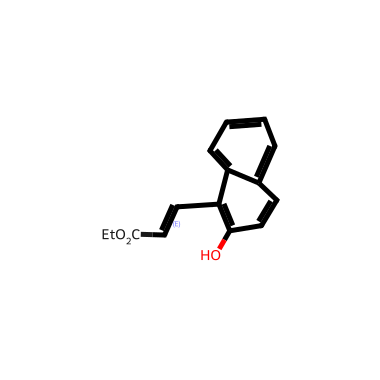 CCOC(=O)/C=C/c1c(O)ccc2ccccc12